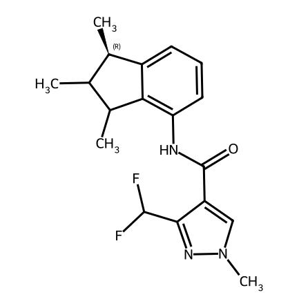 CC1c2c(NC(=O)c3cn(C)nc3C(F)F)cccc2[C@H](C)C1C